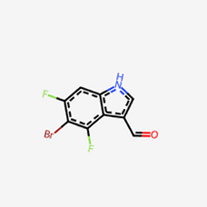 O=Cc1c[nH]c2cc(F)c(Br)c(F)c12